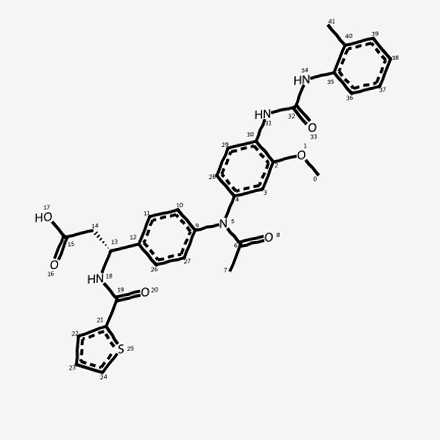 COc1cc(N(C(C)=O)c2ccc([C@@H](CC(=O)O)NC(=O)c3cccs3)cc2)ccc1NC(=O)Nc1ccccc1C